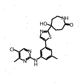 Cc1cc(Nc2ncc(Cl)c(C)n2)cc(-c2cnc(C3(O)CCNC(=O)CC3)s2)c1